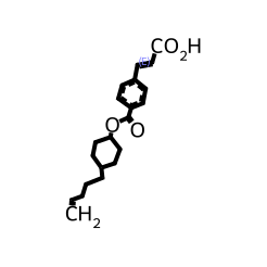 C=CCCCC1CCC(OC(=O)c2ccc(/C=C/C(=O)O)cc2)CC1